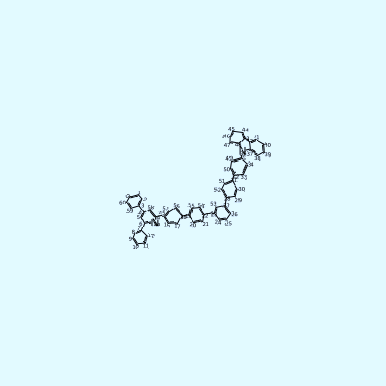 c1ccc(-c2cc(-c3ccccc3)nc(-c3ccc(-c4ccc(-c5cccc(-c6ccc(-c7ccc(-n8c9ccccc9c9ccccc98)cc7)cc6)c5)cc4)cc3)c2)cc1